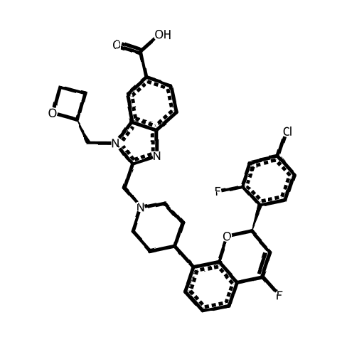 O=C(O)c1ccc2nc(CN3CCC(c4cccc5c4O[C@@H](c4ccc(Cl)cc4F)C=C5F)CC3)n(C[C@@H]3CCO3)c2c1